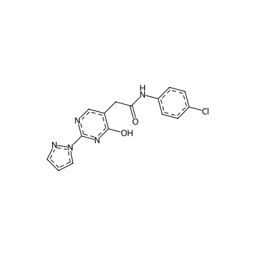 O=C(Cc1cnc(-n2cccn2)nc1O)Nc1ccc(Cl)cc1